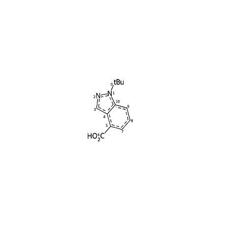 CC(C)(C)n1ncc2c(C(=O)O)cccc21